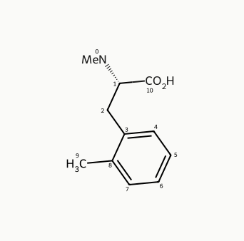 CN[C@@H](Cc1ccccc1C)C(=O)O